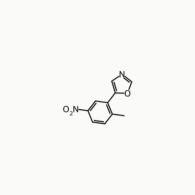 Cc1ccc([N+](=O)[O-])cc1-c1cnco1